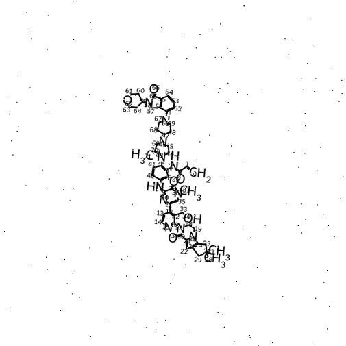 C=CC(=O)Nc1cc(Nc2nc(-c3ccnc(N4CCn5c(cc6c5CC(C)(C)C6)C4=O)c3CO)cn(C)c2=O)ccc1N1CCN(C2CCN(c3cccc4c3CN(C3CCOCC3)C4=O)CC2)C[C@@H]1C